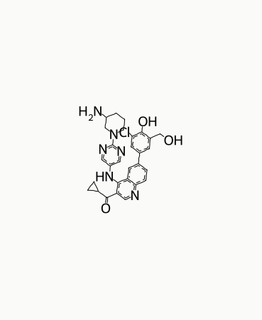 NC1CCCN(c2ncc(Nc3c(C(=O)C4CC4)cnc4ccc(-c5cc(Cl)c(O)c(CO)c5)cc34)cn2)C1